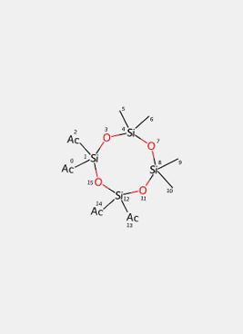 CC(=O)[Si]1(C(C)=O)O[Si](C)(C)O[Si](C)(C)O[Si](C(C)=O)(C(C)=O)O1